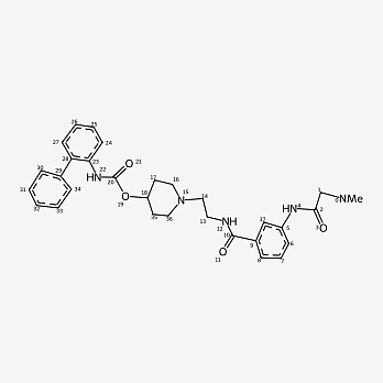 CNCC(=O)Nc1cccc(C(=O)NCCN2CCC(OC(=O)Nc3ccccc3-c3ccccc3)CC2)c1